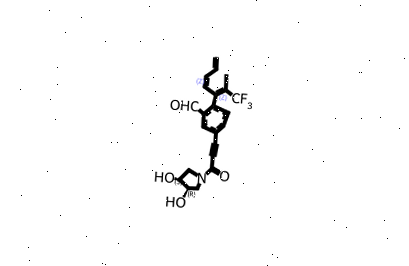 C=C/C=C\C(=C(/C)C(F)(F)F)c1ccc(C#CC(=O)N2C[C@@H](O)[C@@H](O)C2)cc1C=O